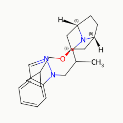 CC(CN1[C@@H]2CC[C@H]1C[C@H](OCC1CC1)C2)Cn1ncc2ccccc21